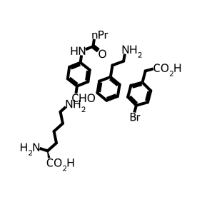 CCCC(=O)Nc1ccc(C=O)cc1.NCCCC[C@H](N)C(=O)O.NCCc1ccccc1.O=C(O)Cc1ccc(Br)cc1